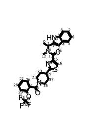 CC(c1cc2ccccc2[nH]1)N(C)C(=O)c1csc(C2CCN(C(=O)c3ccccc3OC(F)(F)F)CC2)n1